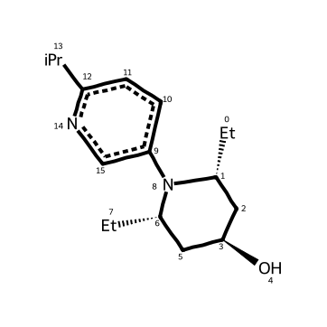 CC[C@@H]1C[C@@H](O)C[C@H](CC)N1c1ccc(C(C)C)nc1